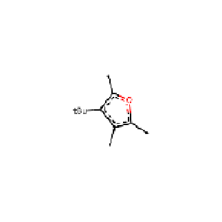 Cc1oc(C)c(C(C)(C)C)c1C